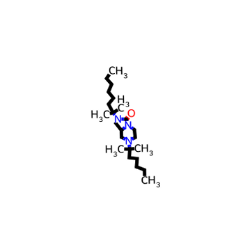 CCCCCCC(C)(C)N1CC2CN(C(C)(C)CCCCC)CCN2C1=O